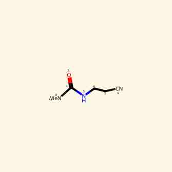 CNC(=O)NCCC#N